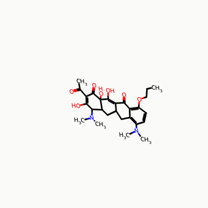 CCCOc1ccc(N(C)C)c2c1C(=O)C1=C(O)C3(O)C(=O)C(C(C)=O)=C(O)C(N(C)C)C3CC1C2